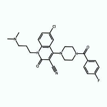 CN(C)CCCn1c(=O)c(C#N)c(N2CCN(C(=O)c3ccc(F)cc3)CC2)c2cc(Cl)ccc21